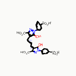 O=C(O)C1=NN(c2ccc(S(=O)(=O)O)cc2)C(O)/C1=C\C=C\c1c(C(=O)O)nn(-c2ccc(S(=O)(=O)O)cc2)c1O